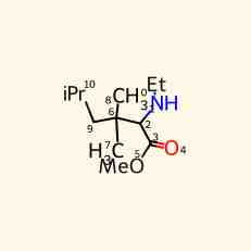 CCNC(C(=O)OC)C(C)(C)CC(C)C